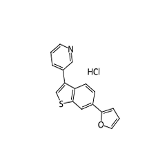 Cl.c1cncc(-c2csc3cc(-c4ccco4)ccc23)c1